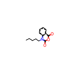 CCCCCn1c(=O)oc(=O)c2ccccc21